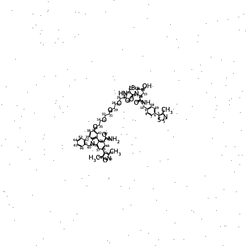 Cc1ncsc1-c1ccc(CNC(=O)[C@@H]2C[C@@H](O)CN2C(=O)C(NC(=O)COCCOCCOCCOc2ccc3c(c2)c2c(C(N)=O)cc(-c4c(C)noc4C)cc2n3Cc2ccccc2)C(C)(C)C)cc1